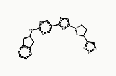 c1cnc2c(c1)CC(Nc1ncc(-c3nnc(N4CCC(c5c[nH]nn5)C4)o3)cn1)C2